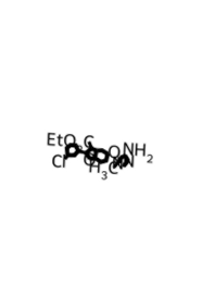 CCOC(=O)c1c(-c2cccc(Cl)c2)oc2ccc(Oc3c(N)ncn3C)cc12